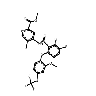 COC(=O)c1cc(NC(=O)c2c(Oc3ccc(OC(F)(F)F)cc3OC)ccc(F)c2Cl)c(C)cn1